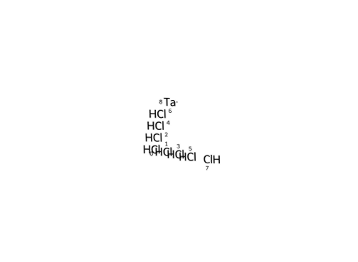 Cl.Cl.Cl.Cl.Cl.Cl.Cl.Cl.[Ta]